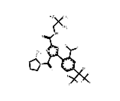 C[C@H]1CCCN1C(=O)c1nc(C(=O)NCC(C)(C)C)sc1-c1ccc(C(O)(C(F)(F)F)C(F)(F)F)cc1C(F)F